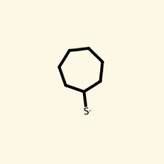 [S]C1CCCCCC1